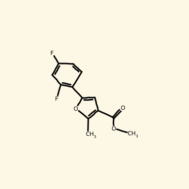 COC(=O)c1cc(-c2ccc(F)cc2F)oc1C